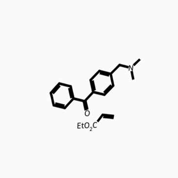 C=CC(=O)OCC.CN(C)Cc1ccc(C(=O)c2ccccc2)cc1